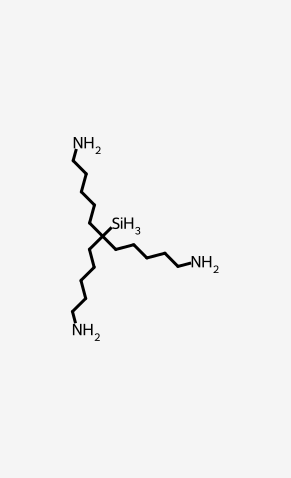 NCCCCCC([SiH3])(CCCCCN)CCCCCN